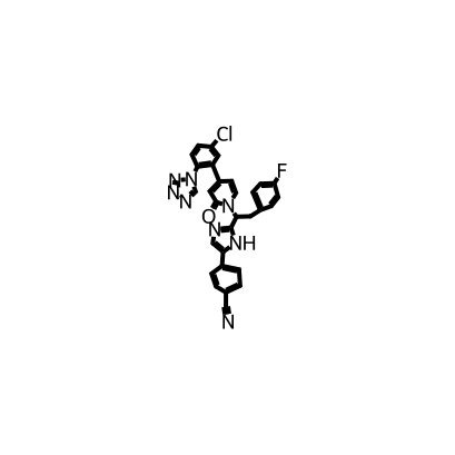 N#Cc1ccc(-c2cnc(C(Cc3ccc(F)cc3)n3ccc(-c4cc(Cl)ccc4-n4cnnn4)cc3=O)[nH]2)cc1